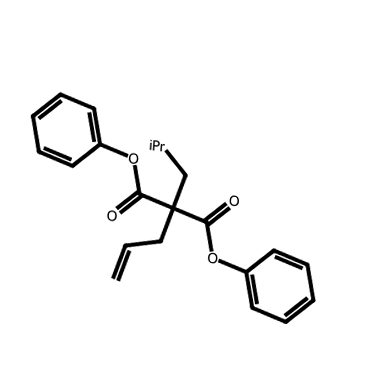 C=CCC(CC(C)C)(C(=O)Oc1ccccc1)C(=O)Oc1ccccc1